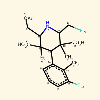 CCC1(C(=O)O)C(COC(C)=O)NC(CF)C(C)(C(=O)O)C1c1cccc(F)c1C(F)(F)F